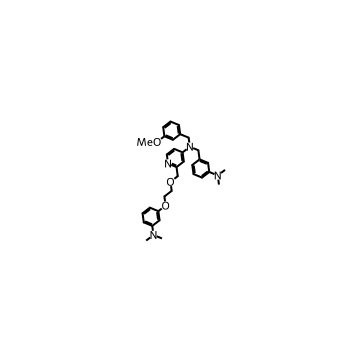 COc1cccc(CN(Cc2cccc(N(C)C)c2)c2ccnc(COCCOc3cccc(N(C)C)c3)c2)c1